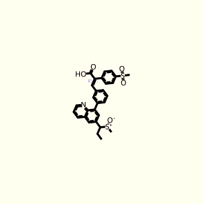 CCC(c1cc(-c2cccc(/C=C(/C(=O)O)c3ccc(S(C)(=O)=O)cc3)c2)c2ncccc2c1)[S+](C)[O-]